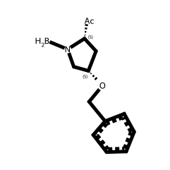 BN1C[C@@H](OCc2ccccc2)C[C@H]1C(C)=O